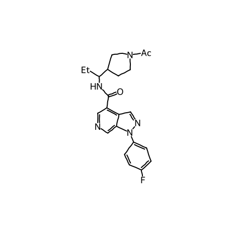 CCC(NC(=O)c1cncc2c1cnn2-c1ccc(F)cc1)C1CCN(C(C)=O)CC1